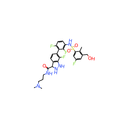 Cc1c(CO)cc(F)cc1S(=O)(=O)Nc1ccc(F)c(-c2ccc3c(c2F)NNC3C(=O)NCCCN(C)C)c1F